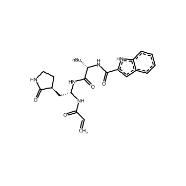 C=CC(=O)N[C@H](C[C@@H]1CCNC1=O)NC(=O)[C@H](CCCC)NC(=O)c1cc2ccccc2[nH]1